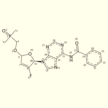 CP(C)(=O)COC1C=C(F)[C@H](n2cnc3c(NC(=O)c4ccccc4)ncnc32)O1